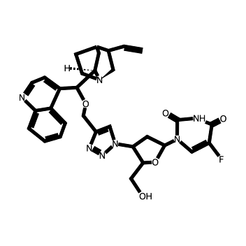 C=CC1C[N@@]2CCC1C[C@@H]2C(OCc1cn(C2CC(n3cc(F)c(=O)[nH]c3=O)OC2CO)nn1)c1ccnc2ccccc12